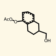 CC(=O)OOc1cccc2c1CCC(CO)C2